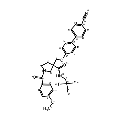 COc1ccc(C(=O)N2CCC(COc3ccc(-c4ccc(C#N)cc4)cc3)(C(=O)NCC(F)(F)F)C2)cc1